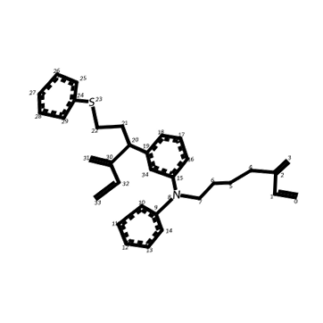 C=CC(=C)CCCCN(c1ccccc1)c1cccc(C(CCSc2ccccc2)C(=C)C=C)c1